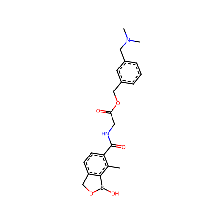 Cc1c(C(=O)NCC(=O)OCc2cccc(CN(C)C)c2)ccc2c1B(O)OC2